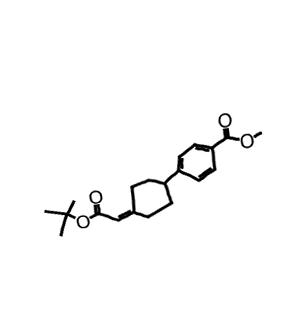 COC(=O)c1ccc(C2CCC(=CC(=O)OC(C)(C)C)CC2)cc1